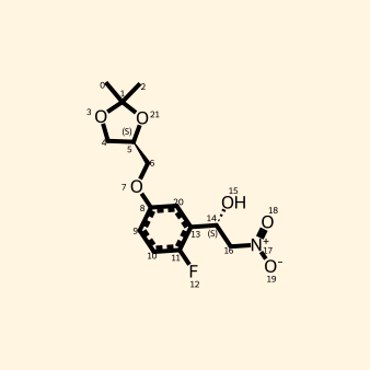 CC1(C)OC[C@H](COc2ccc(F)c([C@H](O)C[N+](=O)[O-])c2)O1